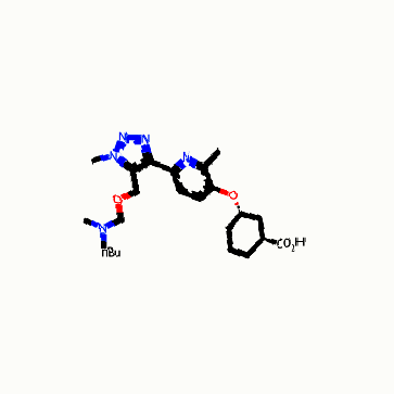 CCCCN(C)COCc1c(-c2ccc(O[C@H]3CCC[C@H](C(=O)O)C3)c(C)n2)nnn1C